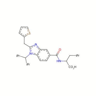 CC(C)CC(NC(=O)c1ccc2c(c1)nc(Cc1cccs1)n2C(C(C)C)C(C)C)C(=O)O